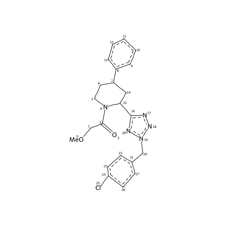 COCC(=O)N1CCC(c2ccccc2)CC1c1nnn(Cc2ccc(Cl)cc2)n1